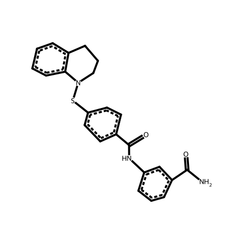 NC(=O)c1cccc(NC(=O)c2ccc(SN3CCCc4ccccc43)cc2)c1